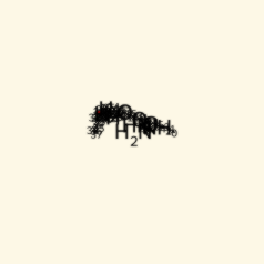 CCCCCCCCOC[C@@H](COCCCCO[C@H]1CC[C@@]2(C)C(=CC[C@H]3[C@@H]4CC[C@H]([C@H](C)CCCC(C)C)[C@@]4(C)CC[C@@H]32)C1)NC(=N)N